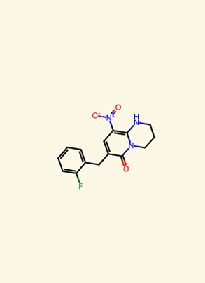 O=c1c(Cc2ccccc2F)cc([N+](=O)[O-])c2n1CCCN2